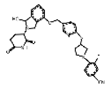 N#Cc1ccc(N2CCC(Sc3ccc(COc4cccc5c4CN([C@@H]4CCC(=O)NC4=O)C5O)cn3)C2)c(F)c1